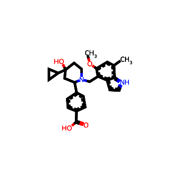 COc1cc(C)c2[nH]ccc2c1CN1CCC(O)(C2CC2)CC1c1ccc(C(=O)O)cc1